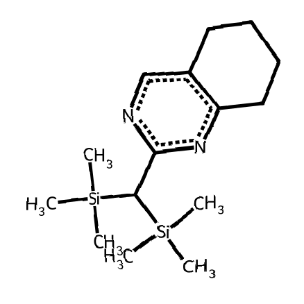 C[Si](C)(C)C(c1ncc2c(n1)CCCC2)[Si](C)(C)C